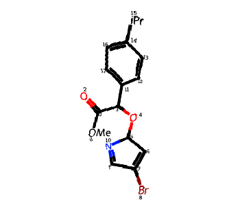 COC(=O)C(OC1C=C(Br)C=N1)c1ccc(C(C)C)cc1